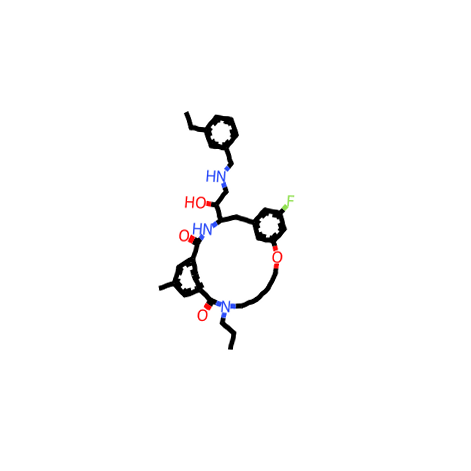 CCCN1CCCCOc2cc(F)cc(c2)CC(C(O)CNCc2cccc(CC)c2)NC(=O)c2cc(C)cc(c2)C1=O